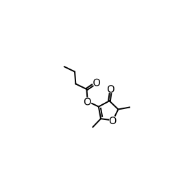 CCCC(=O)OC1=C(C)OC(C)C1=O